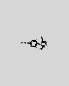 COc1ccc(-n2c(C)nnc2C)cn1